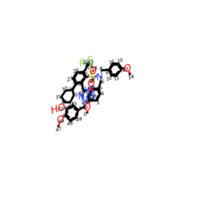 COc1ccc(CN(Cc2ccc(OC)cc2)S(=O)(=O)c2c(C(F)(F)F)ccc(C3CCC(O)CC3)c2-c2nnn(Cc3ccc(OC)cc3)n2)cc1